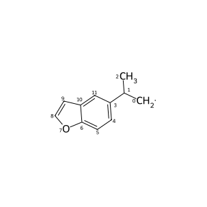 [CH2]C(C)c1ccc2occc2c1